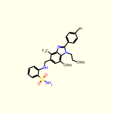 COCCn1c(-c2ccc(C(C)C)cc2)nc2c(C(F)(F)F)c(CNc3ccccc3S(N)(=O)=O)cc(OC)c21